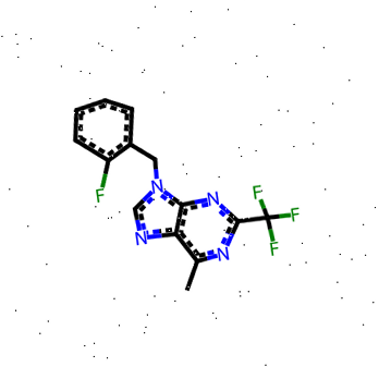 Cc1nc(C(F)(F)F)nc2c1ncn2Cc1ccccc1F